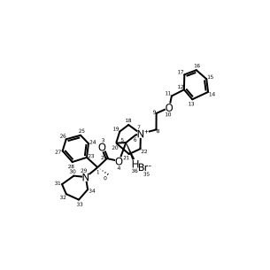 C[C@@](C(=O)O[C@H]1C[N+]2(CCOCc3ccccc3)CCC1CC2)(c1ccccc1)N1CCCCC1.[Br-]